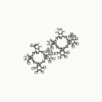 O=S(=O)([O-])c1c(Cl)c(Cl)c(Cl)c2c3nc4nc(nc5[nH]c(nc6nc(nc([nH]3)c12)-c1ccccc1-6)c1cccc(Cl)c51)-c1c(Cl)c(Cl)c(Cl)c(Cl)c1-4.O=S(=O)([O-])c1c(Cl)c(Cl)c(Cl)c2c3nc4nc(nc5[nH]c(nc6nc(nc([nH]3)c12)-c1ccccc1-6)c1cccc(Cl)c51)-c1c(Cl)c(Cl)c(Cl)c(Cl)c1-4.[Cu+2]